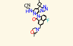 CC1CC(c2cc(NCCC#N)nc(N3C(=O)c4cc(CN5CCO[C@H](C)C5)cc5c(F)ccc3c45)c2)(c2nncn2C)C1